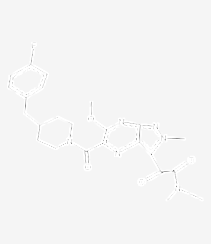 COc1nc2nn(C)c(C(=O)C(=O)N(C)C)c2nc1C(=O)N1CCC(Cc2ccc(F)cc2)CC1